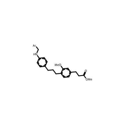 COC(=O)CCc1ccc(CCCc2ccc(NCC(C)=O)cc2)c(OC)c1